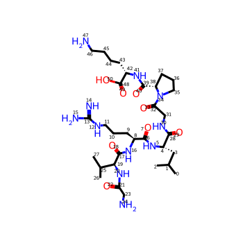 CC(C)C[C@H](NC(=O)[C@H](CCCNC(=N)N)NC(=O)[C@@H](NC(=O)CN)C(C)C)C(=O)NCC(=O)N1CCC[C@H]1C(=O)N[C@@H](CCCCN)C(=O)O